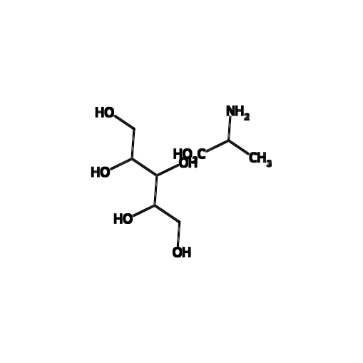 CC(N)C(=O)O.OCC(O)C(O)C(O)CO